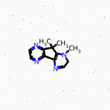 CN1CC=NC2=C1C(C)(C)c1nccnc12